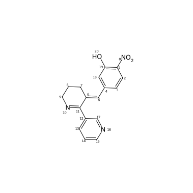 O=[N+]([O-])c1ccc(C=C2CCCN=C2c2cccnc2)cc1O